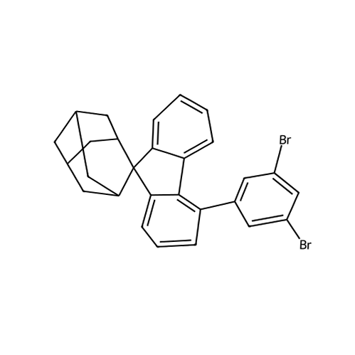 Brc1cc(Br)cc(-c2cccc3c2-c2ccccc2C32C3CC4CC(C3)CC2C4)c1